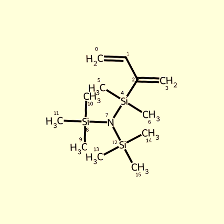 C=CC(=C)[Si](C)(C)N([Si](C)(C)C)[Si](C)(C)C